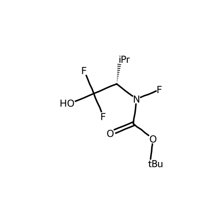 CC(C)[C@H](N(F)C(=O)OC(C)(C)C)C(O)(F)F